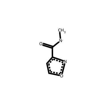 C[N]C(=O)c1ccon1